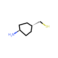 N[C@H]1CC[C@H](CS)CC1